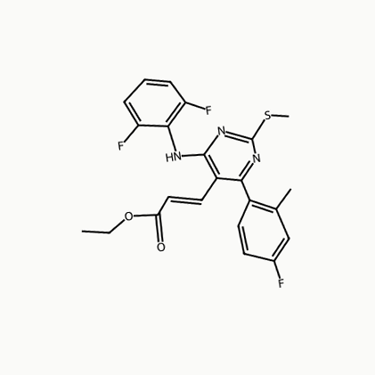 CCOC(=O)C=Cc1c(Nc2c(F)cccc2F)nc(SC)nc1-c1ccc(F)cc1C